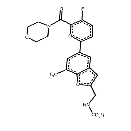 O=C(O)NCc1cc2cc(-c3ccc(F)c(C(=O)N4CCOCC4)n3)cc(C(F)(F)F)c2o1